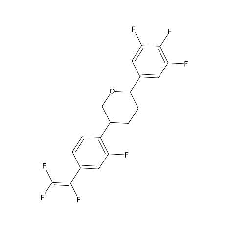 FC(F)=C(F)c1ccc(C2CCC(c3cc(F)c(F)c(F)c3)OC2)c(F)c1